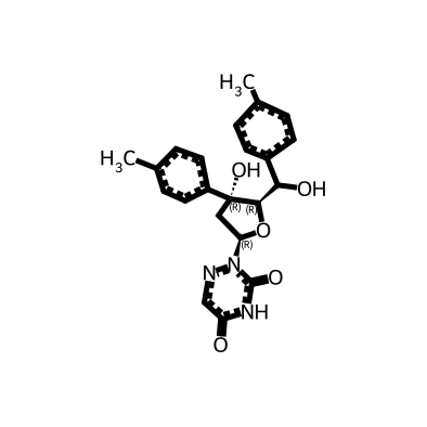 Cc1ccc(C(O)[C@H]2O[C@@H](n3ncc(=O)[nH]c3=O)C[C@@]2(O)c2ccc(C)cc2)cc1